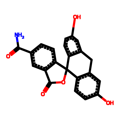 NC(=O)c1ccc2c(c1)C(=O)OC21c2ccc(O)cc2Cc2cc(O)ccc21